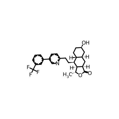 C[C@H]1OC(=O)[C@@H]2C[C@@H]3C[C@H](O)CC[C@H]3[C@H](CCc3ccc(-c4cccc(C(F)(F)F)c4)cn3)[C@H]12